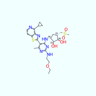 CCOCCNc1nc(C)c(-c2nc3c(C4CC4)nccc3s2)c(N[C@@H]2C[C@H](CS(C)(=O)=O)[C@@H](O)[C@H]2O)n1